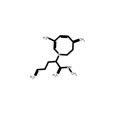 C=CCCC(C(=C)NC)N1/C=C(N)\C=C/C(=C)CC1